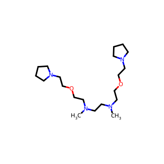 CN(CCOCCN1CCCC1)CCN(C)CCOCCN1CCCC1